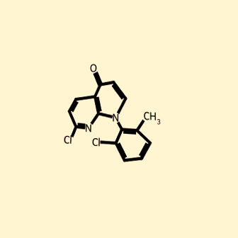 Cc1cccc(Cl)c1-n1ccc(=O)c2ccc(Cl)nc21